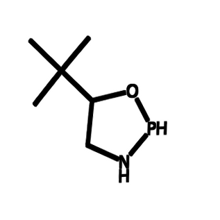 CC(C)(C)C1CNPO1